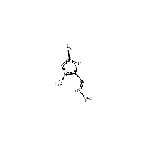 CC(=O)ON=Cc1nc(C#N)cn1C